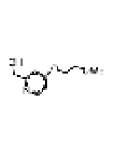 COCCOc1ccnc(CO)c1